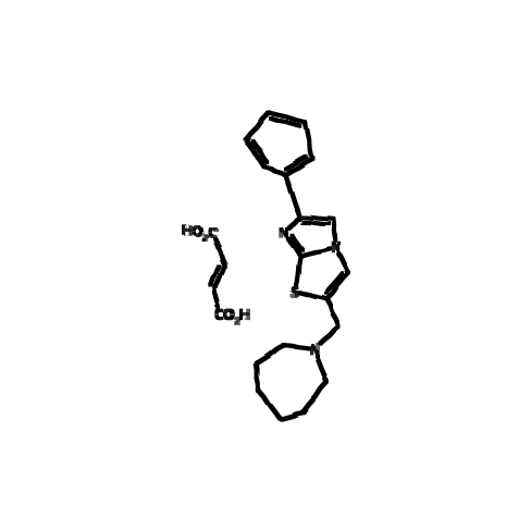 O=C(O)C=CC(=O)O.c1ccc(-c2cn3cc(CN4CCCCCC4)sc3n2)cc1